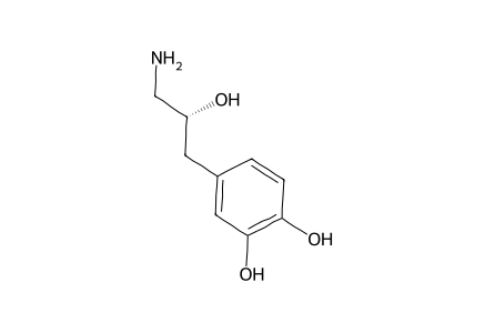 NC[C@H](O)Cc1ccc(O)c(O)c1